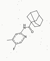 Cc1cc(NC(=O)C23CC4CC(CC(C4)C2)C3)ncc1F